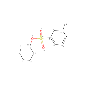 Cc1cccc(S(=O)(=O)OC2CCCCC2)c1